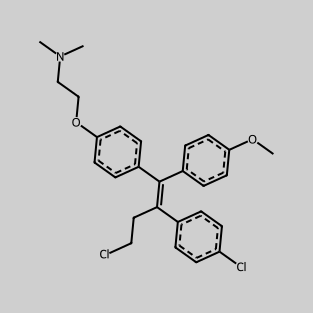 COc1ccc(C(=C(CCCl)c2ccc(Cl)cc2)c2ccc(OCCN(C)C)cc2)cc1